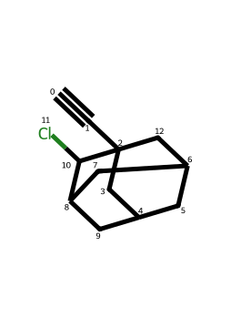 C#CC12CC3CC(CC(C3)C1Cl)C2